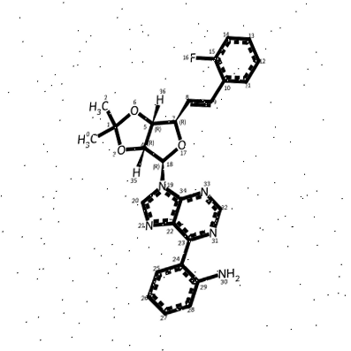 CC1(C)O[C@@H]2[C@H](O1)[C@@H](C=Cc1ccccc1F)O[C@H]2n1cnc2c(-c3ccccc3N)ncnc21